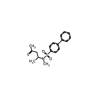 CC(=S)CC(C)N(C)S(=O)(=O)c1ccc(-c2ccccc2)cc1